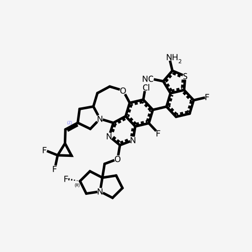 N#Cc1c(N)sc2c(F)ccc(-c3c(Cl)c4c5c(nc(OCC67CCCN6C[C@H](F)C7)nc5c3F)N3C/C(=C\C5CC5(F)F)CC3CCO4)c12